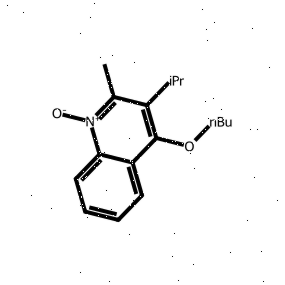 CCCCOc1c(C(C)C)c(C)[n+]([O-])c2ccccc12